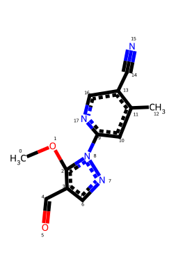 COc1c(C=O)cnn1-c1cc(C)c(C#N)cn1